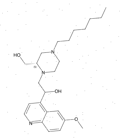 CCCCCCCN1CCN(CC(O)c2ccnc3ccc(OC)cc23)[C@H](CO)C1